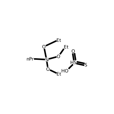 CCC[Si](OCC)(OCC)OCC.O=[SH](O)=S